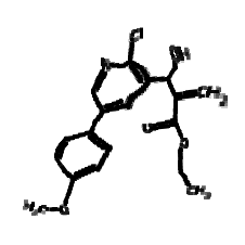 C=C(C(=O)OCC)C(O)c1cc(-c2ccc(OC)cc2)cnc1Cl